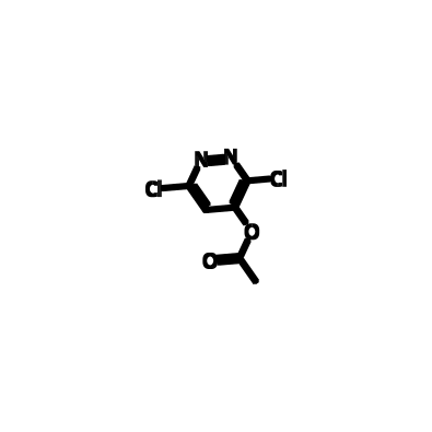 CC(=O)Oc1cc(Cl)nnc1Cl